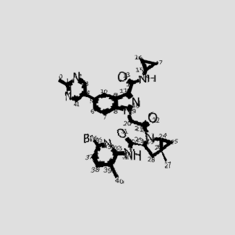 Cc1ncc(-c2ccc3c(c2)c(C(=O)NC2CC2)nn3CC(=O)N2C3C[C@]3(C)C[C@H]2C(=O)Nc2nc(Br)ccc2C)cn1